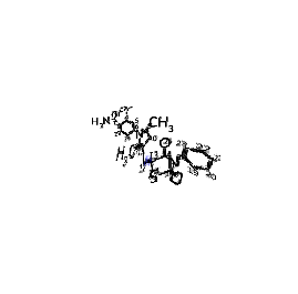 CCCC(N)c1ccc(-n2c(C)cc(/C=C3/SC(=O)N(c4ccccc4)C3=O)c2C)cc1